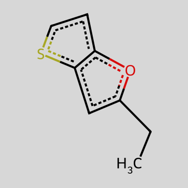 CCc1cc2sccc2o1